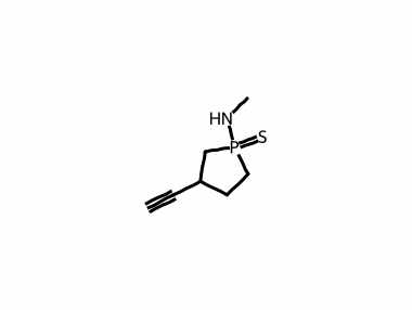 C#CC1CCP(=S)(NC)C1